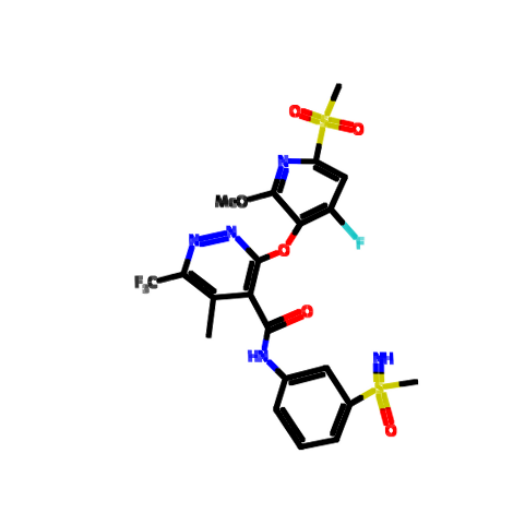 COc1nc(S(C)(=O)=O)cc(F)c1Oc1nnc(C(F)(F)F)c(C)c1C(=O)Nc1cccc(S(C)(=N)=O)c1